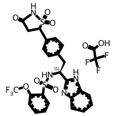 O=C(O)C(F)(F)F.O=C1CC(c2ccc(C[C@H](NS(=O)(=O)c3ccccc3OC(F)(F)F)c3nc4ccccc4[nH]3)cc2)S(=O)(=O)N1